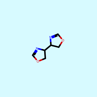 C1=NC(C2COC=N2)CO1